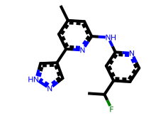 Cc1cc(Nc2cc(C(C)F)ccn2)nc(-c2cn[nH]c2)c1